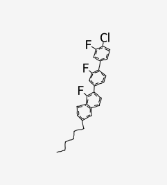 CCCCCCc1ccc2c(F)c(-c3ccc(-c4ccc(Cl)c(F)c4)c(F)c3)ccc2c1